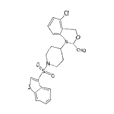 O=CC1OCc2c(Cl)cccc2N1C1CCN(S(=O)(=O)c2csc3ccccc23)CC1